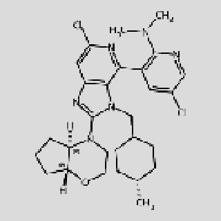 CN(C)c1ncc(Cl)cc1-c1nc(Cl)cc2nc(N3CCO[C@@H]4CCC[C@H]43)n(C[C@H]3CC[C@H](C)CC3)c12